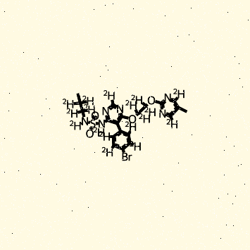 [2H]c1nc(OC([2H])([2H])C([2H])([2H])Oc2nc([2H])c(C)c([2H])n2)c(-c2c([2H])c([2H])c(Br)c([2H])c2[2H])c(N([2H])S(=O)(=O)N([2H])C([2H])([2H])C([2H])([2H])C)n1